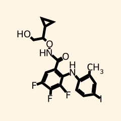 Cc1cc(I)ccc1Nc1c(C(=O)NOC(CO)C2CC2)cc(F)c(F)c1F